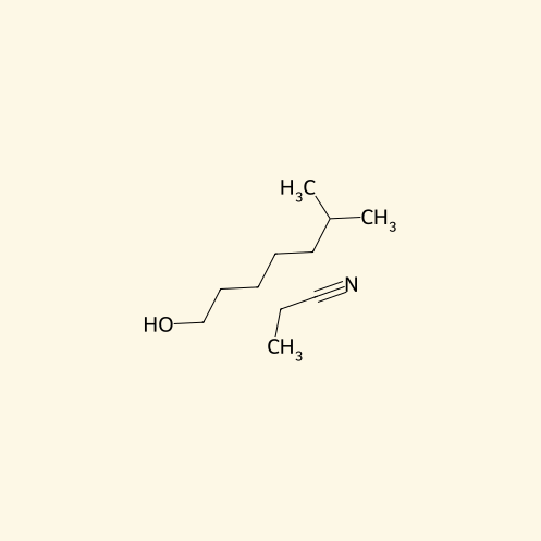 CC(C)CCCCCO.CCC#N